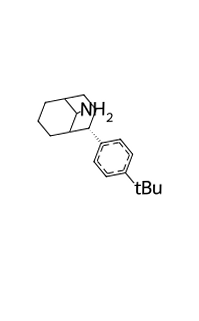 CC(C)(C)c1ccc([C@H]2CCC3CCCC2C3N)cc1